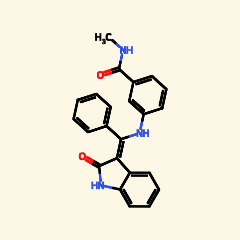 CNC(=O)c1cccc(NC(=C2C(=O)Nc3ccccc32)c2ccccc2)c1